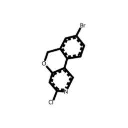 Clc1cc2c(cn1)-c1ccc(Br)cc1CO2